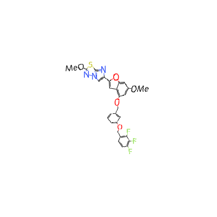 COc1cc(OCc2cccc(OCc3ccc(F)c(F)c3F)c2)c2cc(-c3cn4nc(OC)sc4n3)oc2c1